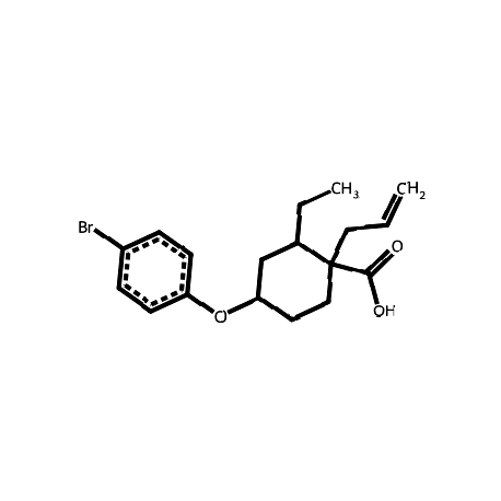 C=CCC1(C(=O)O)CCC(Oc2ccc(Br)cc2)CC1CC